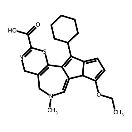 CCOC1=CC=C2C(C3CCCCC3)=C3C(=CN(C)CC4=C3SC(C(=O)O)=NC4)C12